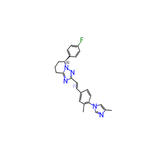 Cc1cn(-c2ccc(/C=C/c3nc4n(n3)[C@H](c3ccc(F)cc3)CCC4)cc2C)cn1